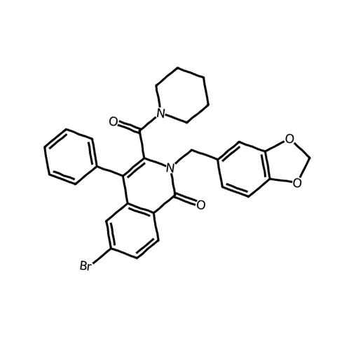 O=C(c1c(-c2ccccc2)c2cc(Br)ccc2c(=O)n1Cc1ccc2c(c1)OCO2)N1CCCCC1